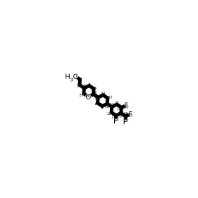 CCCC1CCC(C2CCC(C3CC(F)C(C(F)F)C(F)C3)CC2)OC1